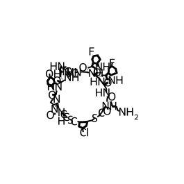 C[C@@]12CCCN1C(=O)[C@H](Cc1ccc(O)cc1)NC(=O)[C@H](Cc1c[nH]cn1)NC(=O)CNC(=O)[C@H](Cc1c[nH]c3ccc(F)cc13)NC(=O)[C@H](Cc1c[nH]c3ccc(F)cc13)NC(=O)CNC(=O)[C@H](CCCCN)NC(=O)CCSCc1cc(Cl)cc(c1)CSCCN/C2=N\C=O